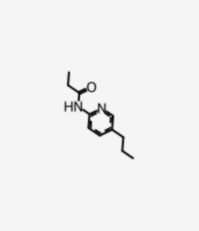 CCCc1ccc(NC(=O)CC)nc1